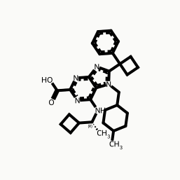 CC1CCC(Cn2c(C3(c4ccccc4)CCC3)nc3nc(C(=O)O)nc(N[C@H](C)C4CCC4)c32)CC1